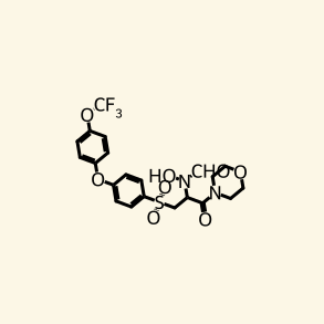 O=CN(O)C(CS(=O)(=O)c1ccc(Oc2ccc(OC(F)(F)F)cc2)cc1)C(=O)N1CCOCC1